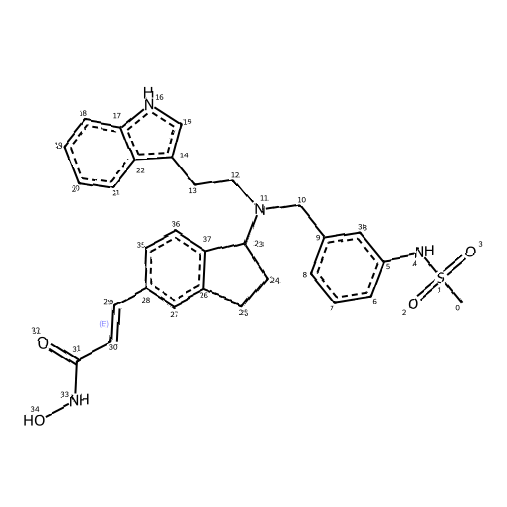 CS(=O)(=O)Nc1cccc(CN(CCc2c[nH]c3ccccc23)C2CCc3cc(/C=C/C(=O)NO)ccc32)c1